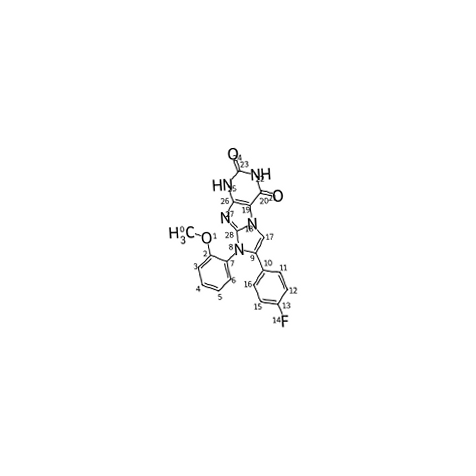 COc1ccccc1-n1c(-c2ccc(F)cc2)cn2c3c(=O)[nH]c(=O)[nH]c3nc12